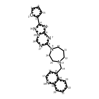 c1coc(-c2nc3nc(N4CCCN(Cc5ccnc6ccccc56)CC4)ncn3n2)c1